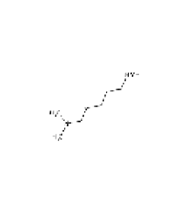 CNCCC[CH]CN(C)C